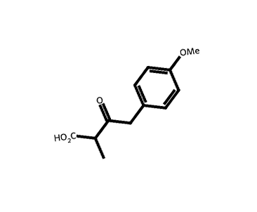 COc1ccc(CC(=O)C(C)C(=O)O)cc1